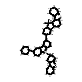 CC1(C)c2ccc(-c3ccc4c(c3)c3cc(-c5ccccc5)ccc3n4-c3ccc4sc5ccccc5c4c3)cc2-c2ccc3sc4ccccc4c3c21